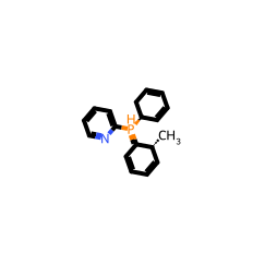 C[C@@H]1C=CC=C/C1=[PH](\c1ccccn1)[C@@H]1C=CC=CC1